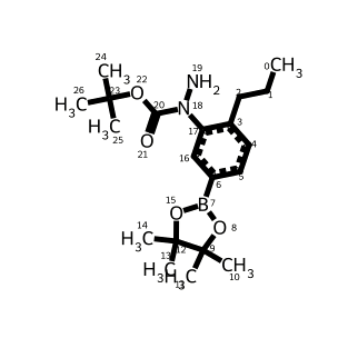 CCCc1ccc(B2OC(C)(C)C(C)(C)O2)cc1N(N)C(=O)OC(C)(C)C